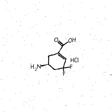 Cl.N[C@H]1CC(C(=O)O)=CC(F)(F)C1